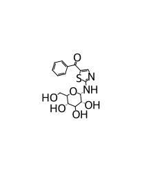 O=C(c1ccccc1)c1cnc(N[C@H]2OC(CO)[C@@H](O)C(O)[C@H]2O)s1